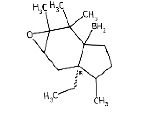 BC12CCC(C)[C@@]1(CC)CC1OC1(C)C2(C)C